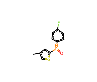 Cc1csc([PH](=O)c2ccc(F)cc2)c1